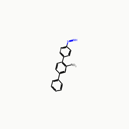 N=Nc1ccc(-c2ccc(-c3ccccc3)cc2[N+](=O)[O-])cc1